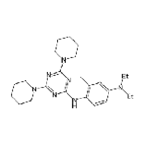 CCN(CC)c1ccc(Nc2nc(N3CCCCC3)nc(N3CCCCC3)n2)c(C)c1